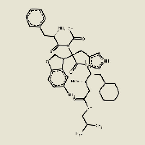 CC(=O)N(C(=O)[C@@H](N)Cc1ccccc1)[C@](Cc1c[nH]cn1)(C(=O)N[C@@H](CC1CCCCC1)[C@@H](O)CC(=O)NCC(C)C)C1COc2ccc(N)cc21